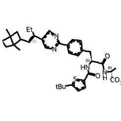 CC/C(=C\C1CC2(C)CCC12C)c1cnc(-c2ccc(C[C@H](NC(=O)c3ccc(C(C)(C)C)s3)C(=O)N[C@H](C)C(=O)O)cc2)nc1